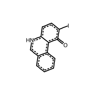 O=c1c(I)ccc2[nH]cc3ccccc3c1-2